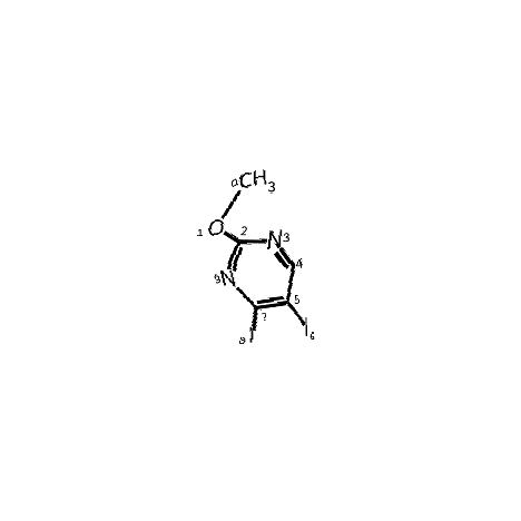 COc1ncc(I)c(I)n1